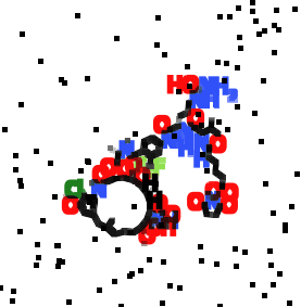 COc1cc2cc(c1Cl)N(C)C(=O)C[C@H](OC(=O)[C@H](C)N(C)C(=O)c1ccc(NC(=O)[C@H](CCCNC(N)O)NC(=O)[C@@H](NC(=O)CCCCC(=O)ON3C(=O)CCC3=O)C(C)C)cc1C(F)(F)F)[C@]1(C)O[C@H]1[C@H](C)[C@@H]1C[C@@](O)(NC(=O)O1)[C@H](OC)/C=C/C=C(\C)C2